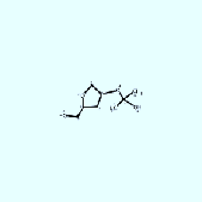 CC(C)(O)O[C@@H]1CO[C@H](CO)C1